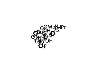 COC(=O)N[C@H](C(=O)N[C@@H](Cc1ccc(-c2cnc(C(C)C)s2)cc1)[C@@H](O)C[C@@H](Cc1ccccc1F)C(=O)N[C@H]1c2ccccc2OC[C@H]1O)C(C)(C)C